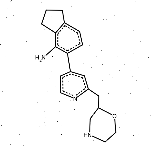 Nc1c(-c2ccnc(CC3CNCCO3)c2)ccc2c1CCC2